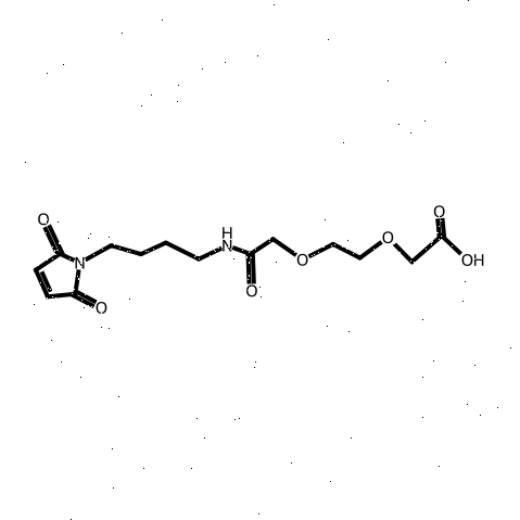 O=C(O)COCCOCC(=O)NCCCCN1C(=O)C=CC1=O